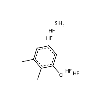 Cc1cccc(Cl)c1C.F.F.F.F.[SiH4]